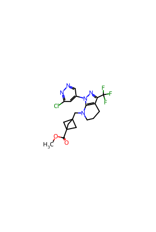 COC(=O)C12CC(CN3CCCc4c(C(F)(F)F)nn(-c5cnnc(Cl)c5)c43)(C1)C2